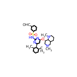 Cc1cccc(C)c1-c1cc(O[C@H]2CN(C)CC3CCCN(C)C32)nc(NS(=O)(=O)c2cccc(C=O)c2)n1